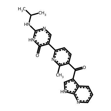 Cc1nc(-c2cnc(NC(C)C)[nH]c2=O)ccc1C(=O)c1c[nH]c2ncccc12